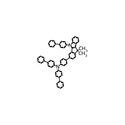 CC1(C)c2ccc(-c3ccc(N(c4ccc(-c5ccccc5)cc4)c4ccc(-c5ccccc5)cc4)cc3)cc2-c2c1c1ccccc1n2-c1ccc(-c2ccccc2)cc1